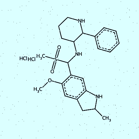 COc1cc2c(cc1C(NC1CCCNC1c1ccccc1)S(C)(=O)=O)NC(C)C2.Cl.Cl